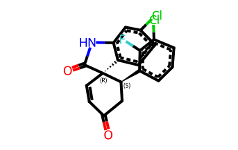 O=C1C=C[C@@]2(C(=O)Nc3cc(Cl)ccc32)[C@@H](c2cccc(Cl)c2F)C1